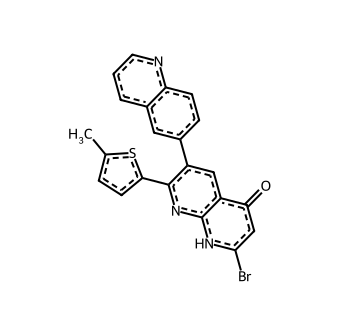 Cc1ccc(-c2nc3[nH]c(Br)cc(=O)c3cc2-c2ccc3ncccc3c2)s1